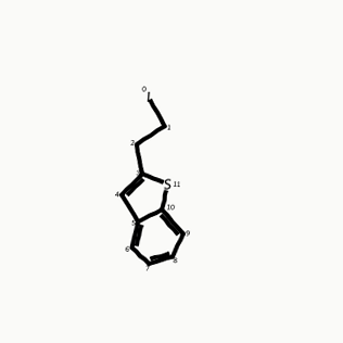 ICCc1cc2ccccc2s1